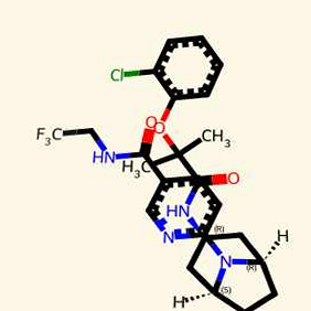 CC(C)(Oc1ccccc1Cl)C(=O)N[C@H]1C[C@H]2CC[C@@H](C1)N2c1ccc(C(=O)NCC(F)(F)F)cn1